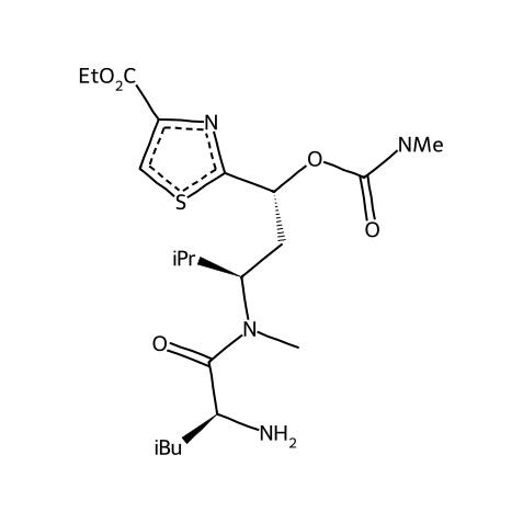 CCOC(=O)c1csc([C@@H](C[C@H](C(C)C)N(C)C(=O)[C@@H](N)C(C)CC)OC(=O)NC)n1